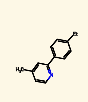 CCc1ccc(-c2cc(C)ccn2)cc1